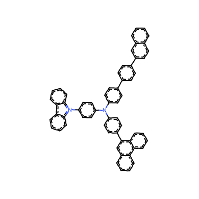 c1ccc2cc(-c3ccc(-c4ccc(N(c5ccc(-c6cc7ccccc7c7ccccc67)cc5)c5ccc(-n6c7ccccc7c7ccccc76)cc5)cc4)cc3)ccc2c1